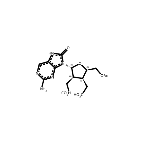 CC(=O)OC[C@@H]1O[C@@H](n2c(=O)[nH]c3cnc(N)nc32)[C@H](CC(=O)O)[C@@H]1CC(=O)O